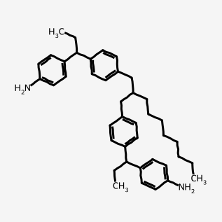 CCCCCCCCC(Cc1ccc(C(CC)c2ccc(N)cc2)cc1)Cc1ccc(C(CC)c2ccc(N)cc2)cc1